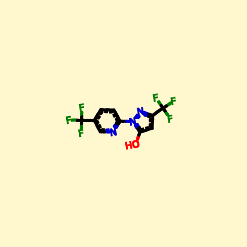 Oc1cc(C(F)(F)F)nn1-c1ccc(C(F)(F)F)cn1